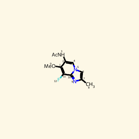 COc1c(NC(C)=O)cn2cc(C)nc2c1F